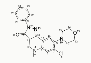 O=C1C2CNc3cc(Cl)c(N4CCOCC4)cc3C2=NN1c1ccccc1